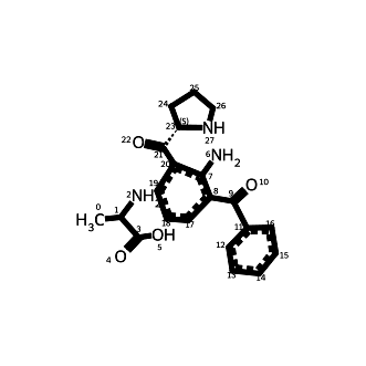 CC(N)C(=O)O.Nc1c(C(=O)c2ccccc2)cccc1C(=O)[C@@H]1CCCN1